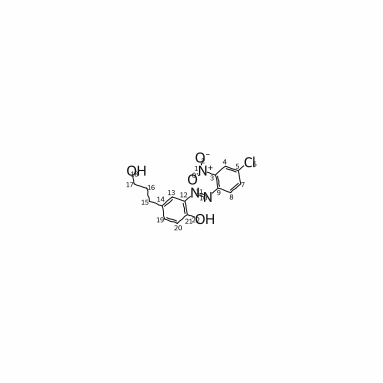 O=[N+]([O-])c1cc(Cl)ccc1N=Nc1cc(CCCO)ccc1O